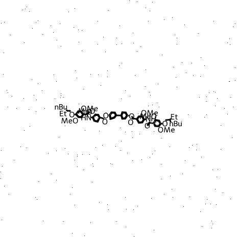 CCCCC(CC)COc1cc(OC)c(C(=O)Nc2ccc(C(=O)Oc3ccc(-c4ccc(OC(=O)c5ccc(NC(=O)c6cc(OC)c(OCC(CC)CCCC)cc6OC)c(OC)c5)cc4)cc3)cc2OC)cc1OC